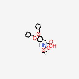 CC(C)(C)OC(=O)N[C@@H](Cc1ccc(OCc2ccccc2)c(OCc2ccccc2)c1)C(=O)O